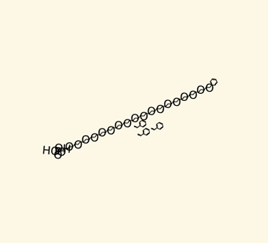 C=Cc1ccccc1.C=Cc1ccccc1.C=Cc1ccccc1.O=P(O)(O)OCCOCCOCCOCCOCCOCCOCCOCCOCCOCCOCCOCCOCCOCCOCCOCCOCCOCCOc1ccccc1